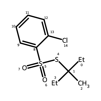 CCC(C)(CC)SS(=O)(=O)c1ccccc1Cl